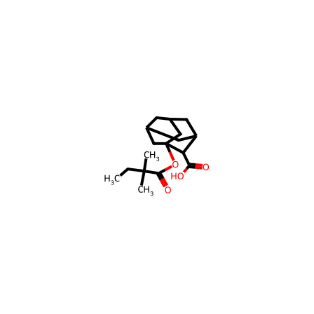 CCC(C)(C)C(=O)OC12CC3CC(CC(C3)C1C(=O)O)C2